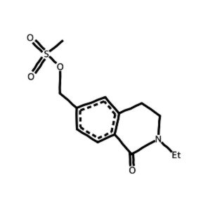 CCN1CCc2cc(COS(C)(=O)=O)ccc2C1=O